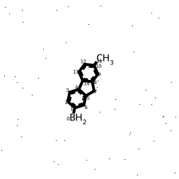 Bc1ccc2c(c1)Cc1cc(C)ccc1-2